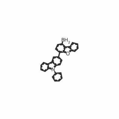 Bc1ccc(-c2ccc3c(c2)c2ccccc2n3-c2ccccc2)c2oc3ccccc3c12